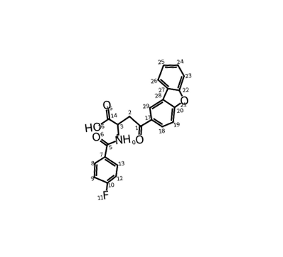 O=C(CC(NC(=O)c1ccc(F)cc1)C(=O)O)c1ccc2oc3ccccc3c2c1